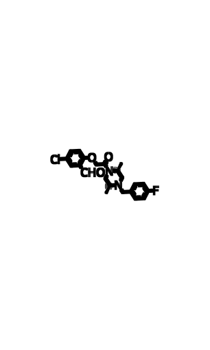 C[C@H]1CN(C(=O)COc2ccc(Cl)cc2C=O)[C@@H](C)CN1Cc1ccc(F)cc1